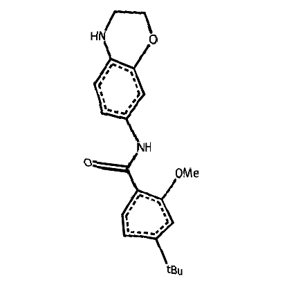 COc1cc(C(C)(C)C)ccc1C(=O)Nc1ccc2c(c1)OCCN2